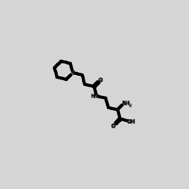 NC(CCNC(=O)CCN1CCCCC1)C(=O)O